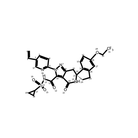 C=Cc1ccc(-n2nc3c(c2C(=O)NS(=O)(=O)C2CC2)C(=O)N[C@@]2(CCc4cc(OCC(F)(F)F)ccc42)C3)nc1